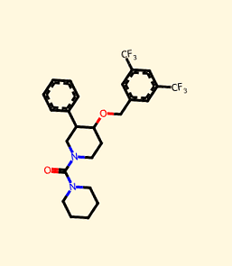 O=C(N1CCCCC1)N1CCC(OCc2cc(C(F)(F)F)cc(C(F)(F)F)c2)C(c2ccccc2)C1